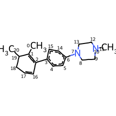 CC1=C(c2ccc(N3CCN(C)CC3)cc2)C=CCC1C